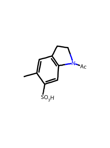 CC(=O)N1CCc2cc(C)c(S(=O)(=O)O)cc21